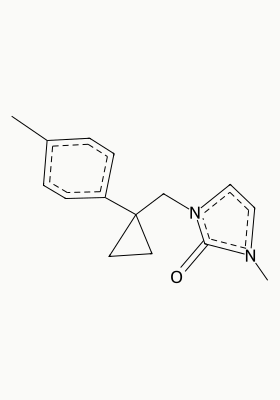 Cc1ccc(C2(Cn3ccn(C)c3=O)CC2)cc1